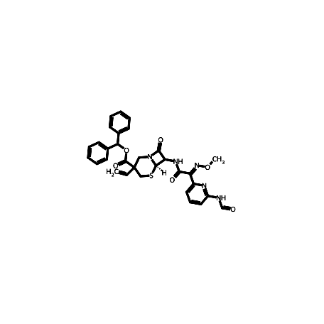 C=CC1(C(=O)OC(c2ccccc2)c2ccccc2)CS[C@@H]2C(NC(=O)C(=NOC)c3cccc(NC=O)n3)C(=O)N2C1